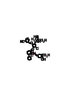 CC(CO)(NCc1cc(Cl)c(OCC2(OCCCN3CCC(CO)(C(=O)O)CC3)C=CC=C(c3ccccc3)[C@@]2(C)Cl)cc1OCc1cncc(C#N)c1)C(=O)O